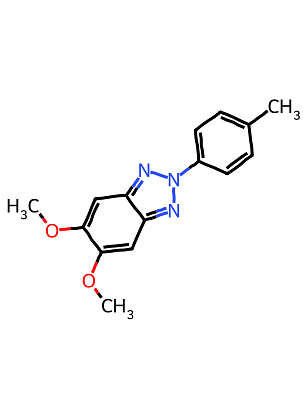 COc1cc2nn(-c3ccc(C)cc3)nc2cc1OC